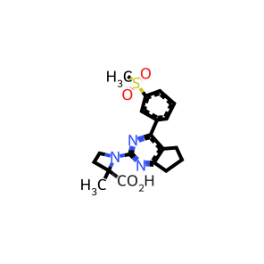 CC1(C(=O)O)CCN1c1nc2c(c(-c3cccc(S(C)(=O)=O)c3)n1)CCC2